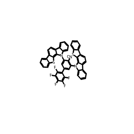 N#Cc1c(-n2c3ccccc3c3ccc4c5ccccc5sc4c32)cc(-c2c(F)c(F)c(F)c(F)c2F)cc1-n1c2ccccc2c2ccc3c4ccccc4sc3c21